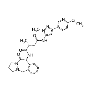 COc1ccc(-c2cc(NC(=O)C[C@@H](C)C(=O)N[C@@H]3C(=O)N4CCCN4Cc4ccccc43)n(C)n2)cn1